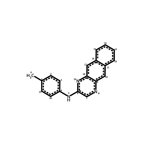 Cc1ccc(Nc2cnc3cc4ccccc4cc3n2)cc1